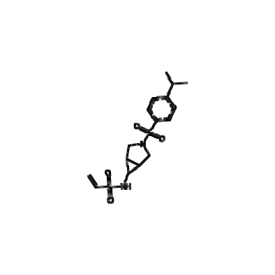 C=CS(=O)(=O)NC1C2CN(S(=O)(=O)c3ccc(C(C)C)cc3)CC21